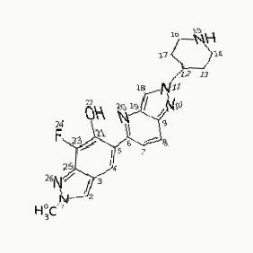 Cn1cc2cc(-c3ccc4nn(C5CCNCC5)cc4n3)c(O)c(F)c2n1